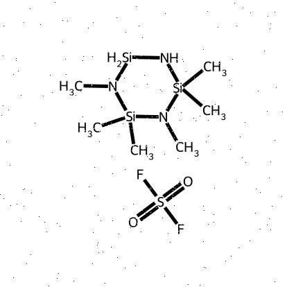 CN1[SiH2]N[Si](C)(C)N(C)[Si]1(C)C.O=S(=O)(F)F